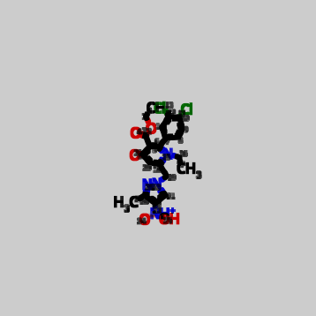 CCOC(=O)c1c(-c2ccc(Cl)c(Cl)c2)n(CC)c(Cn2cc([NH+]([O-])O)c(C)n2)cc1=O